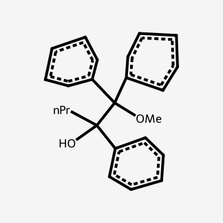 CCCC(O)(c1ccccc1)C(OC)(c1ccccc1)c1ccccc1